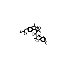 CCN(Oc1ccc(Cl)cc1Cl)C(=O)c1c(-c2ccc(CC(=O)OC)cc2Cl)noc1C